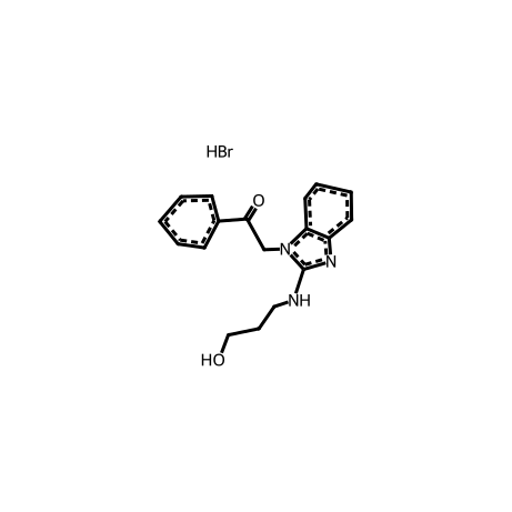 Br.O=C(Cn1c(NCCCO)nc2ccccc21)c1ccccc1